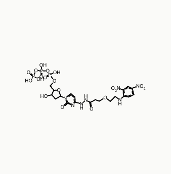 O=C(CCOCCNc1ccc([N+](=O)[O-])cc1[N+](=O)[O-])NNc1ccn(C2CC(O)C(COP(=O)(O)OP(=O)(O)OP(=O)(O)O)O2)c(=O)n1